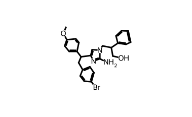 COc1ccc(C(Cc2ccc(Br)cc2)c2cn(CC(CO)c3ccccc3)c(N)n2)cc1